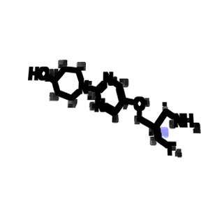 NC/C(=C\F)COc1cnc(N2CCC(O)CC2)nc1